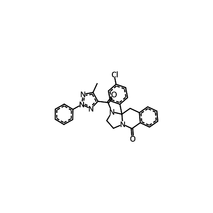 Cc1nn(-c2ccccc2)nc1C(=O)N1CCN2C(=O)c3ccccc3CC21c1ccc(Cl)cc1